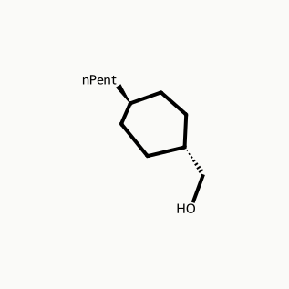 CCCCC[C@H]1CC[C@H](CO)CC1